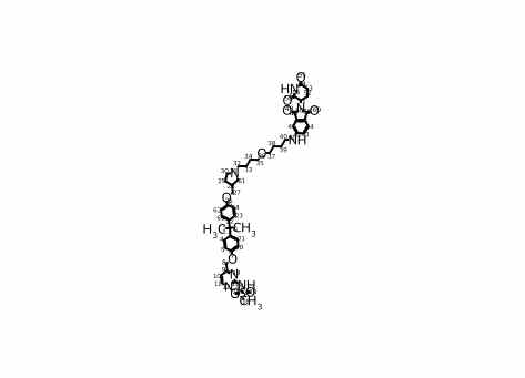 CC(C)(c1ccc(OCc2ccnc(NS(C)(=O)=O)n2)cc1)c1ccc(OCC2CCN(CCCCOCCCCNc3ccc4c(c3)C(=O)N(C3CCC(=O)NC3=O)C4=O)C2)cc1